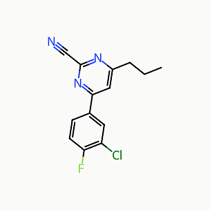 CCCc1cc(-c2ccc(F)c(Cl)c2)nc(C#N)n1